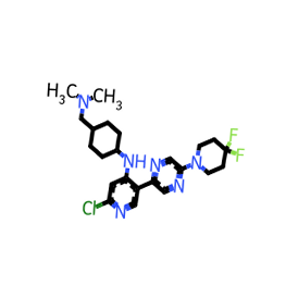 CN(C)CC1CCC(Nc2cc(Cl)ncc2-c2cnc(N3CCC(F)(F)CC3)cn2)CC1